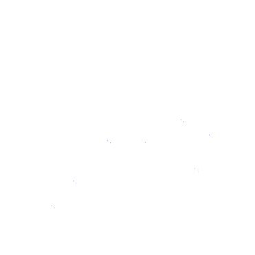 COc1nc(Nc2cc(C)nc3c2nc(-c2ccc(F)cc2)n3C)ccc1-n1cnc(C)c1